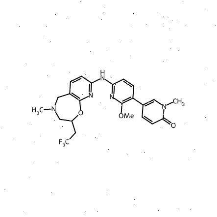 COc1nc(Nc2ccc3c(n2)OC(CC(F)(F)F)CN(C)C3)ccc1-c1ccc(=O)n(C)c1